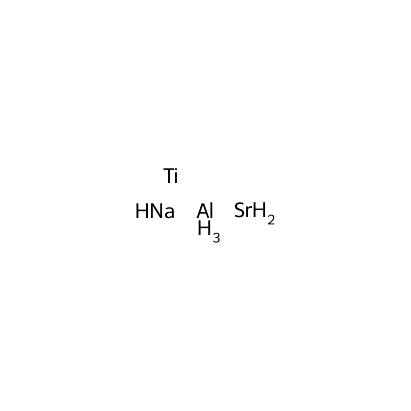 [AlH3].[NaH].[SrH2].[Ti]